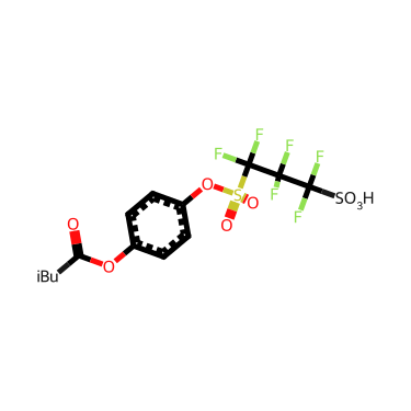 CCC(C)C(=O)Oc1ccc(OS(=O)(=O)C(F)(F)C(F)(F)C(F)(F)S(=O)(=O)O)cc1